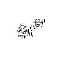 CC(Cc1ccc(OC(C)(C)C(=O)O)cc1)NC(=O)c1ccccc1N1CCC[C@@H](C)C1